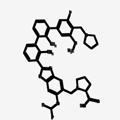 COc1cc(-c2cccc(-c3cccc(-c4nc5cc(CN6CCC[C@H]6C(=O)O)c(OC(F)F)cc5o4)c3C)c2C)cc(F)c1CN1CCCC1